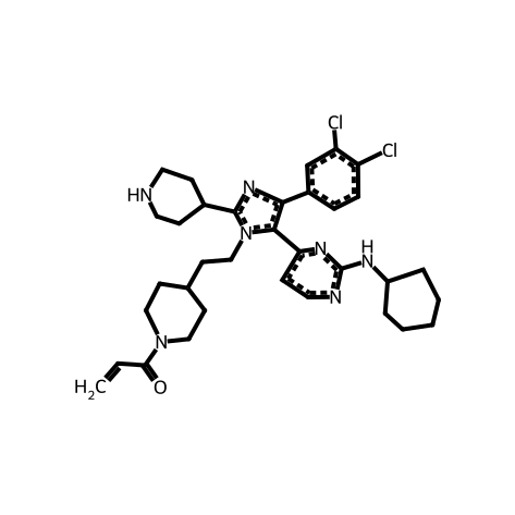 C=CC(=O)N1CCC(CCn2c(C3CCNCC3)nc(-c3ccc(Cl)c(Cl)c3)c2-c2ccnc(NC3CCCCC3)n2)CC1